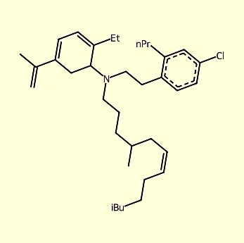 C=C(C)C1=CC=C(CC)C(N(CCCC(C)C/C=C\CCC(C)CC)CCc2ccc(Cl)cc2CCC)C1